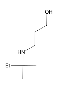 CCC(C)(C)NCCCO